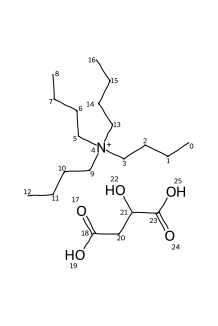 CCCC[N+](CCCC)(CCCC)CCCC.O=C(O)CC(O)C(=O)O